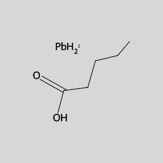 CCCCC(=O)O.[PbH2]